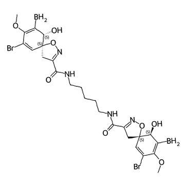 BC1=C(OC)C(Br)=C[C@@]2(CC(C(=O)NCCCCCNC(=O)C3=NO[C@]4(C=C(Br)C(OC)=C(B)[C@@H]4O)C3)=NO2)[C@H]1O